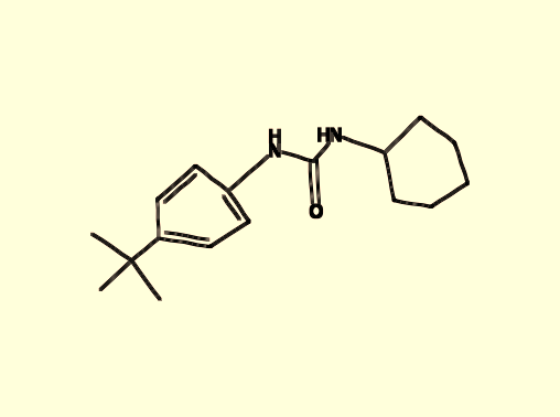 CC(C)(C)c1ccc(NC(=O)NC2CCCCC2)cc1